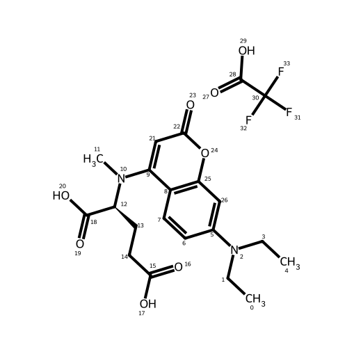 CCN(CC)c1ccc2c(N(C)[C@@H](CCC(=O)O)C(=O)O)cc(=O)oc2c1.O=C(O)C(F)(F)F